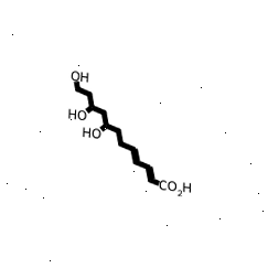 O=C(O)C=CC=CCCC(O)CC(O)CCO